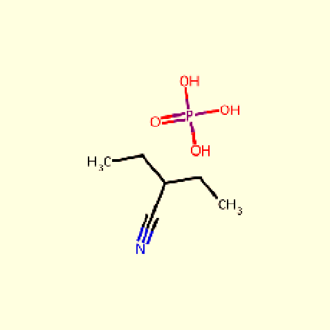 CCC(C#N)CC.O=P(O)(O)O